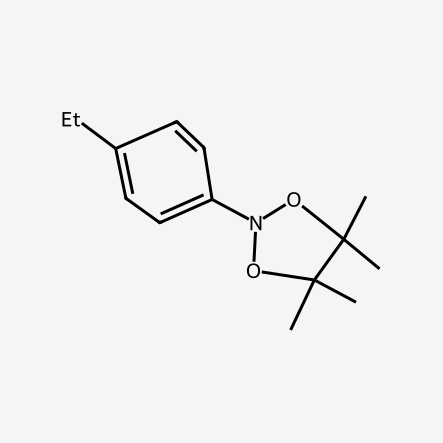 CCc1ccc(N2OC(C)(C)C(C)(C)O2)cc1